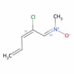 C=C/C=C(Cl)\C=[N+](/C)[O-]